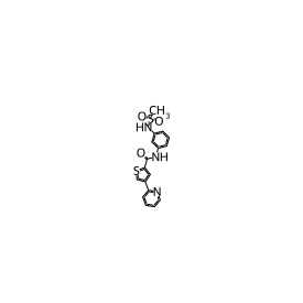 CS(=O)(=O)Nc1cccc(NC(=O)c2cc(-c3ccccn3)cs2)c1